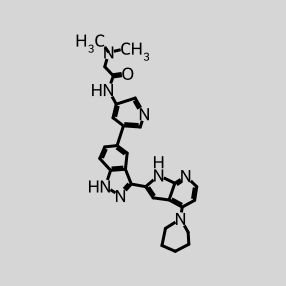 CN(C)CC(=O)Nc1cncc(-c2ccc3[nH]nc(-c4cc5c(N6CCCCC6)ccnc5[nH]4)c3c2)c1